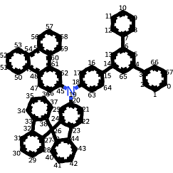 c1ccc(-c2cc(-c3ccccc3)cc(-c3ccc(N(c4ccc5c(c4)C4(c6ccccc6-c6ccccc64)c4ccccc4-5)c4ccc5c6ccccc6c6ccccc6c5c4)cc3)c2)cc1